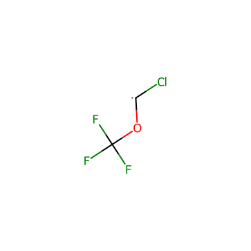 FC(F)(F)O[CH]Cl